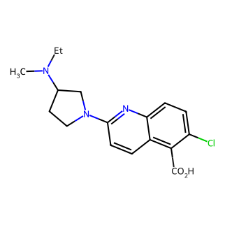 CCN(C)C1CCN(c2ccc3c(C(=O)O)c(Cl)ccc3n2)C1